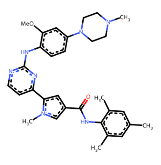 COc1cc(N2CCN(C)CC2)ccc1Nc1nccc(-c2cc(C(=O)Nc3c(C)cc(C)cc3C)cn2C)n1